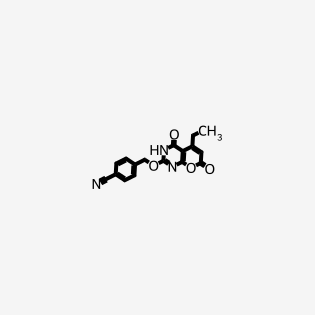 CCc1cc(=O)oc2nc(OCc3ccc(C#N)cc3)[nH]c(=O)c12